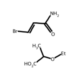 CCOC(C)C(=O)O.NC(=O)C=CBr